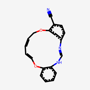 N#Cc1ccc2cc1OC/C=C\C=C\Oc1ccccc1N/C=N/2